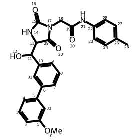 COc1cccc(-c2cccc(C(O)C3NC(=O)N(CC(=O)Nc4ccc(C)cc4)C3=O)c2)c1